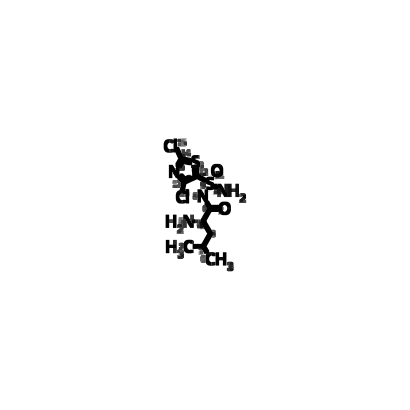 CC(C)C[C@H](N)C(=O)N=S(N)(=O)c1sc(Cl)nc1Cl